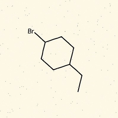 CCC1CCC(Br)CC1